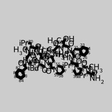 CC[C@H](C)[C@@H](C(=O)N[C@@H](CC(=O)N[C@H](C)C(=O)N[C@@H](C(=O)N(C)[C@@H](Cc1ccccc1)C(=O)N[C@H](C(=O)N1CCC[C@H]1C(=O)N(C)[C@H](C(N)=O)C(C)C)C(C)C)[C@@H](C)O)C(=O)N1CCCCC1)N(C)C(=O)[C@H](C)NC(=O)[C@H](CC(C)C)N(C)C(=O)CN(C)C(=O)Cc1ccccc1